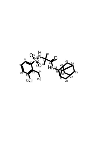 CC(C)(NS(=O)(=O)c1cccc(Cl)c1CI)C(=O)NC1C2CC3CC(C2)CC1C3